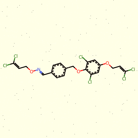 ClC(Cl)=CCON=Cc1ccc(COc2c(Cl)cc(OCC=C(Cl)Cl)cc2Cl)cc1